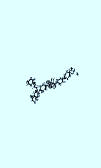 CC1(C)CCN(c2ccc(C(=O)NS(=O)(=O)c3ccc(CN(CCSc4ccccc4)Cc4c(F)cccc4Cl)cc3)cc2)CC1